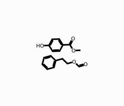 COC(=O)c1ccc(O)cc1.O=COCCc1ccccc1